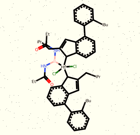 CCC(=O)N[B](NC(=O)CC)[Hf]([Cl])([Cl])([CH]1C(CC(C)C)=Cc2c(-c3ccccc3C(C)CC)cccc21)[CH]1C(CC(C)C)=Cc2c(-c3ccccc3C(C)CC)cccc21